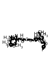 CN[C@@H](C)CN[C@H](C(=O)N1CCC[C@H]1C1=NC(C(=O)c2ccc(F)cc2)CS1)C1CCN(CCOCCOCCC(=O)NCCn2nc3c(c2C#N)-c2cnc(N)c(c2)O[C@H](C)c2cc(F)ccc2C(=O)N(C)C3)CC1